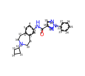 O=C(Nc1ccc2c(c1)CCN(C1CCC1)CC2)c1cnn(-c2ccccc2)n1